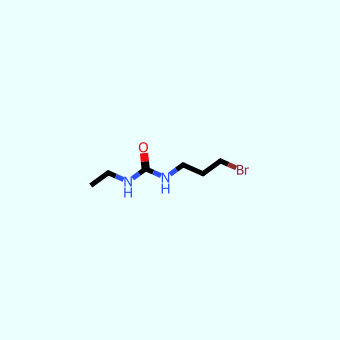 CCNC(=O)NCCCBr